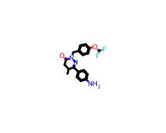 CC1CC(=O)N(Cc2ccc(OC(F)F)cc2)N=C1c1ccc(N)cc1